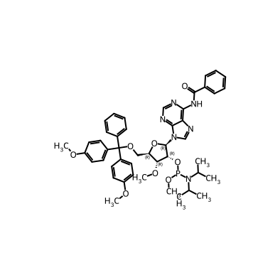 COc1ccc(C(OC[C@H]2O[C@@H](n3cnc4c(NC(=O)c5ccccc5)ncnc43)[C@H](OP(OC)N(C(C)C)C(C)C)[C@@H]2OC)(c2ccccc2)c2ccc(OC)cc2)cc1